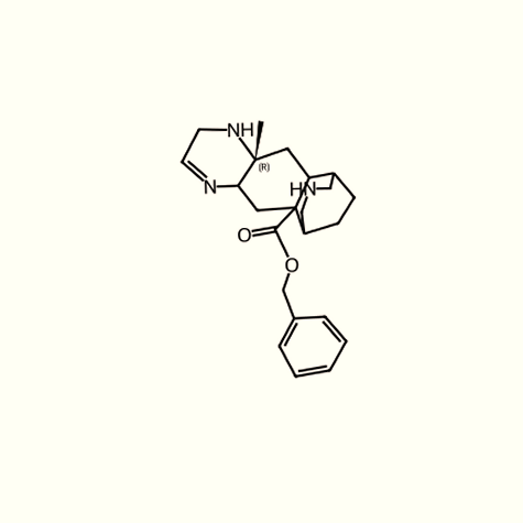 C[C@@]12CC3C4CCC(CNC4)C3(C(=O)OCc3ccccc3)CC1N=CCN2